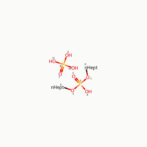 CCCCCCCOP(=O)(O)OCCCCCCC.O=P(O)(O)O